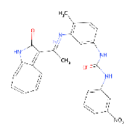 C/C(=N\c1cc(NC(=O)Nc2cccc([N+](=O)[O-])c2)ccc1C)c1c2cccccc-2[nH]c1=O